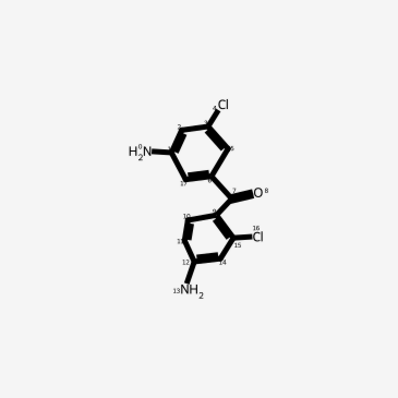 Nc1cc(Cl)cc(C(=O)c2ccc(N)cc2Cl)c1